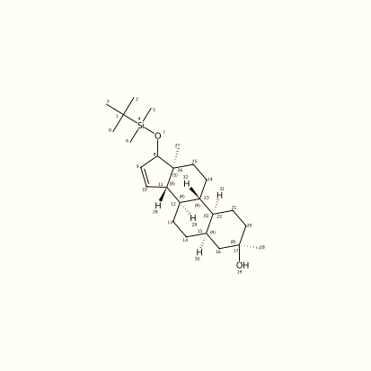 CC(C)(C)[Si](C)(C)OC1C=C[C@H]2[C@@H]3CC[C@@H]4C[C@](C)(O)CC[C@@H]4[C@H]3CC[C@]12C